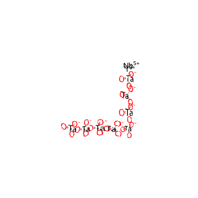 [Nb+5].[O]=[Ta](=[O])[O-].[O]=[Ta](=[O])[O-].[O]=[Ta](=[O])[O-].[O]=[Ta](=[O])[O-].[O]=[Ta](=[O])[O-].[O]=[Ta](=[O])[O-].[O]=[Ta](=[O])[O-].[O]=[Ta](=[O])[O-].[Y+3]